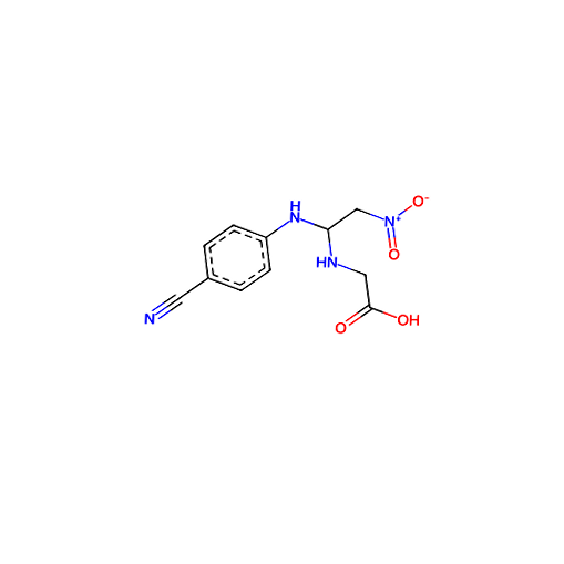 N#Cc1ccc(NC(C[N+](=O)[O-])NCC(=O)O)cc1